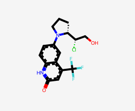 O=c1cc(C(F)(F)F)c2cc(N3CCC[C@@H]3[C@@H](Cl)CO)ccc2[nH]1